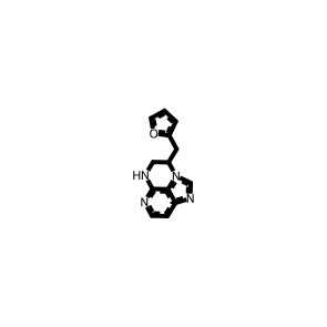 c1coc(CC2CNc3nccc4ncn2c34)c1